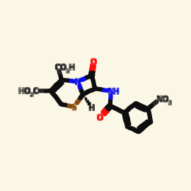 O=C(O)C1=C(C(=O)O)N2C(=O)C(NC(=O)c3cccc([N+](=O)[O-])c3)[C@H]2SC1